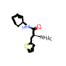 CC(=O)N[C@@H](Cc1cccs1)C(=O)NCC1C=CC=CC1